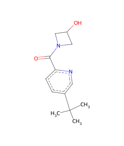 CC(C)(C)c1ccc(C(=O)N2CC(O)C2)nc1